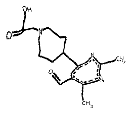 Cc1nc(C)c(C=O)c(C2CCN(C(=O)O)CC2)n1